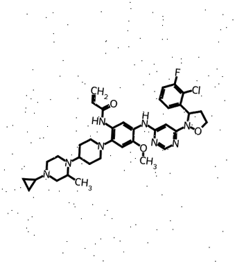 C=CC(=O)Nc1cc(Nc2cc(N3OCCC3c3cccc(F)c3Cl)ncn2)c(OC)cc1N1CCC(N2CCN(C3CC3)CC2C)CC1